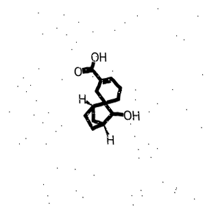 O=C(O)C1=CCCC2(C1)C(O)[C@@H]1CC[C@H]2C1